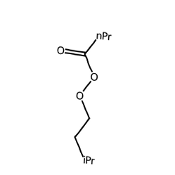 CCCC(=O)OOCCC(C)C